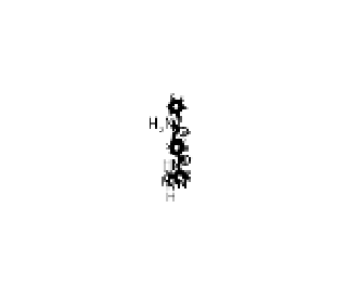 NN(Cc1ccccc1)C(=O)Cc1ccc(C(=O)Nc2ccnc3[nH]ncc23)cc1